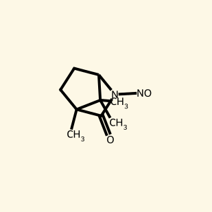 CC12CCC(N(N=O)C1=O)C2(C)C